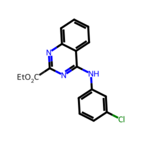 CCOC(=O)c1nc(Nc2cccc(Cl)c2)c2ccccc2n1